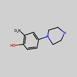 O=[N+]([O-])c1cc(N2CC[N]CC2)ccc1O